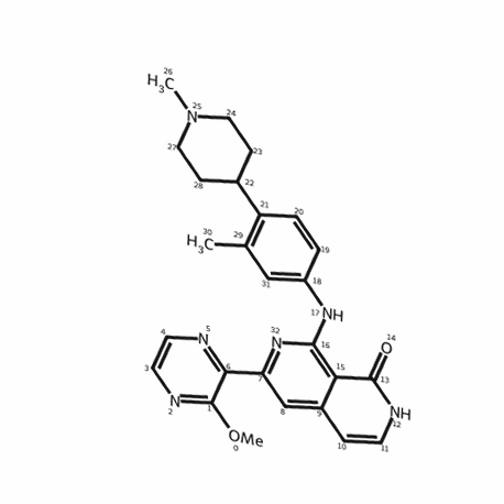 COc1nccnc1-c1cc2cc[nH]c(=O)c2c(Nc2ccc(C3CCN(C)CC3)c(C)c2)n1